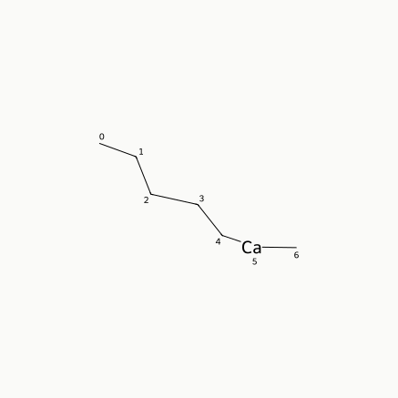 CCCC[CH2][Ca][CH3]